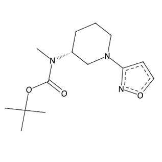 CN(C(=O)OC(C)(C)C)[C@@H]1CCCN(c2ccon2)C1